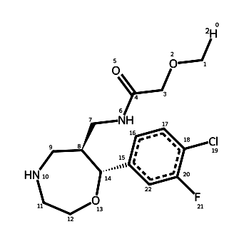 [2H]COCC(=O)NC[C@@H]1CNCCO[C@H]1c1ccc(Cl)c(F)c1